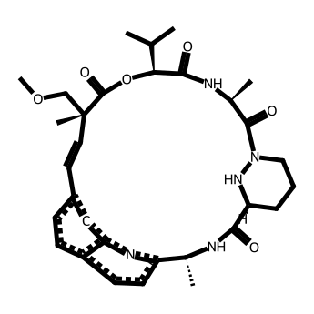 COC[C@@]1(C)/C=C/c2ccc3ccc(nc3c2)[C@@H](C)NC(=O)[C@@H]2CCCN(N2)C(=O)[C@H](C)NC(=O)[C@H](C(C)C)OC1=O